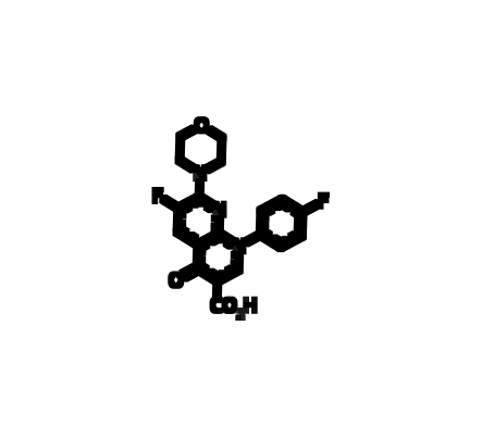 O=C(O)c1cn(-c2ccc(F)cc2)c2nc(N3CCOCC3)c(F)cc2c1=O